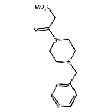 CCOC(=O)CC(=O)N1CCN(Cc2ccccc2)CC1